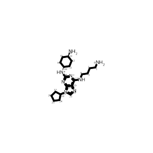 NCCCCNc1nc(N[C@H]2CC[C@H](N)CC2)nc2c1ncn2C1CCCC1